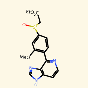 CCOC(=O)C[S+]([O-])c1ccc(-c2nccc3[nH]cnc23)c(OC)c1